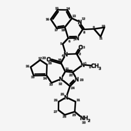 Cn1c(=O)n(Cc2nc(C3CC3)nc3ccccc23)c(=O)c2c1nc(N1CCCC(N)C1)n2CC1=CCCC1